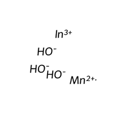 [In+3].[Mn+2].[OH-].[OH-].[OH-]